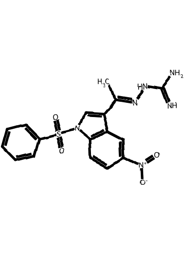 CC(=NNC(=N)N)c1cn(S(=O)(=O)c2ccccc2)c2ccc([N+](=O)[O-])cc12